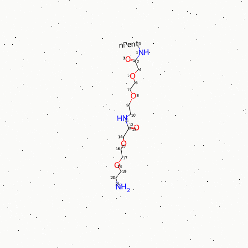 CCCCCNC(=O)COCCOCCNC(=O)COCCOCCN